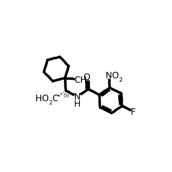 CC1([C@H](NC(=O)c2ccc(F)cc2[N+](=O)[O-])C(=O)O)CCCCC1